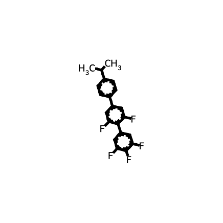 CC(C)c1ccc(-c2cc(F)c(-c3cc(F)c(F)c(F)c3)c(F)c2)cc1